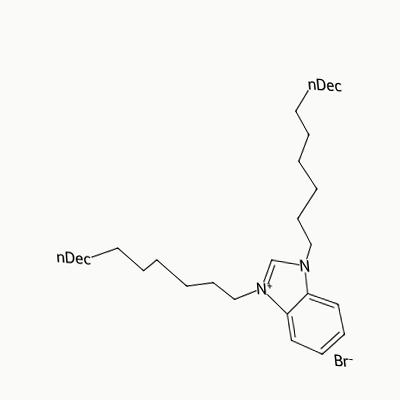 CCCCCCCCCCCCCCCCn1c[n+](CCCCCCCCCCCCCCCC)c2ccccc21.[Br-]